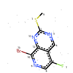 CSc1ncc2c(F)cnc(Br)c2n1